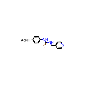 CC(=O)Nc1ccc(NC(=S)NCc2ccncc2)cc1